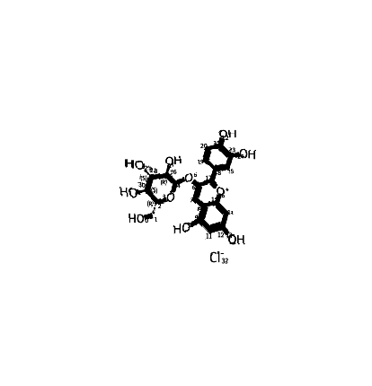 OC[C@H]1OC(Oc2cc3c(O)cc(O)cc3[o+]c2-c2ccc(O)c(O)c2)[C@H](O)[C@@H](O)[C@@H]1O.[Cl-]